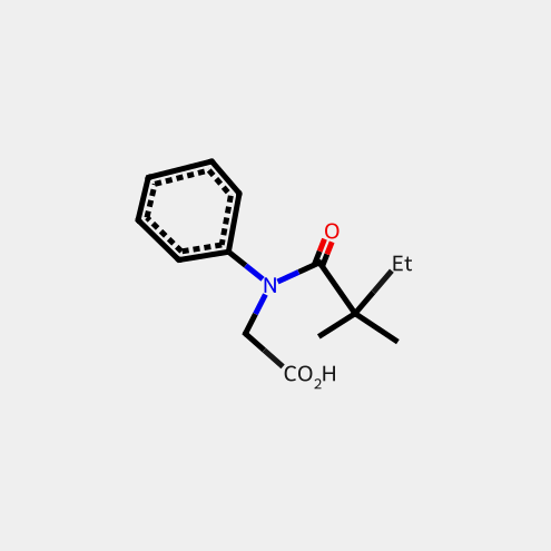 CCC(C)(C)C(=O)N(CC(=O)O)c1ccccc1